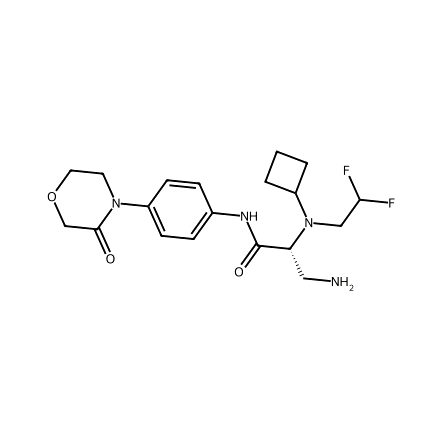 NC[C@H](C(=O)Nc1ccc(N2CCOCC2=O)cc1)N(CC(F)F)C1CCC1